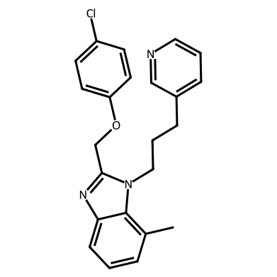 Cc1cccc2nc(COc3ccc(Cl)cc3)n(CCCc3cccnc3)c12